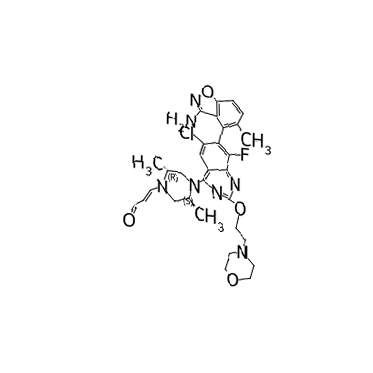 Cc1ccc2onc(N)c2c1-c1c(Cl)cc2c(N3C[C@@H](C)N(C=CC=O)C[C@@H]3C)nc(OCCN3CCOCC3)nc2c1F